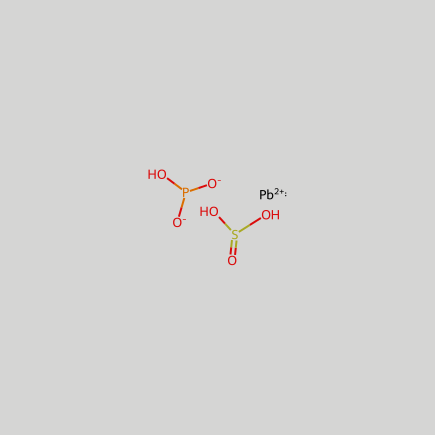 O=S(O)O.[O-]P([O-])O.[Pb+2]